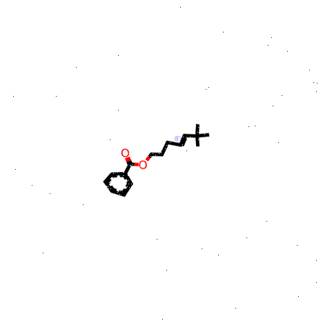 CC(C)(C)/C=C/CCCOC(=O)c1ccccc1